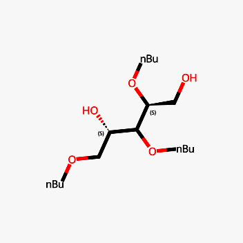 CCCCOC[C@H](O)C(OCCCC)[C@H](CO)OCCCC